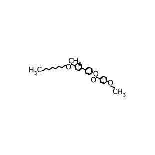 CCCCCCCCCOC(C)c1ccc(-c2ccc(OC(=O)c3ccc(OCCC)cc3)cc2)cc1